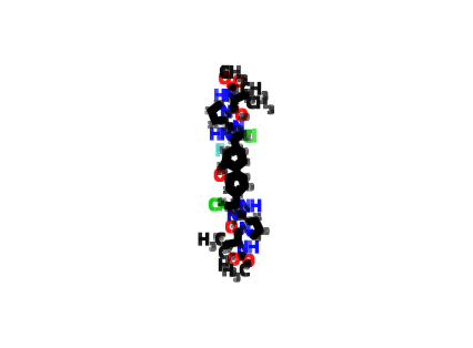 COC(=O)NC(C(=O)N1CCC[C@H]1c1nc(Cl)c(-c2ccc3c(c2)OCc2c-3ccc(-c3[nH]c([C@@H]4CCCN4C(=O)[C@@H](NC(=O)OC)C(C)C)nc3Cl)c2F)[nH]1)C(C)C